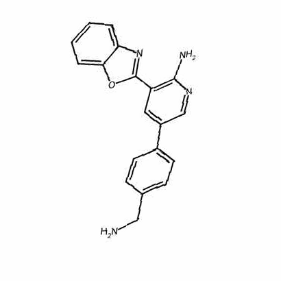 NCc1ccc(-c2cnc(N)c(-c3nc4ccccc4o3)c2)cc1